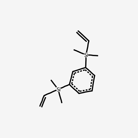 C=C[Si](C)(C)c1cccc([Si](C)(C)C=C)c1